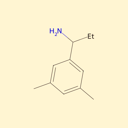 CCC(N)c1cc(C)cc(C)c1